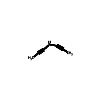 CC#CBC#CC